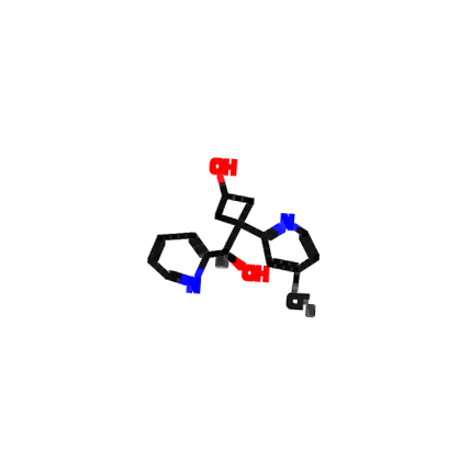 OC1CC(c2cc(C(F)(F)F)ccn2)([C@@H](O)c2ccccn2)C1